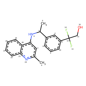 Cc1cc(NC(C)c2cccc(C(F)(F)CO)c2)c2ccccc2n1